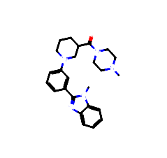 CN1CCN(C(=O)C2CCCN(c3cccc(-c4nc5ccccc5n4C)c3)C2)CC1